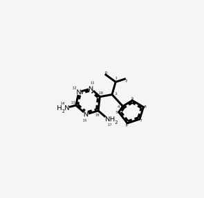 CC(C)C(c1ccccc1)c1nnc(N)nc1N